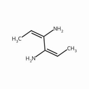 C/C=C(N)\C(N)=C/C